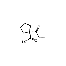 O=C(O)C1(C(=O)CI)CCCC1